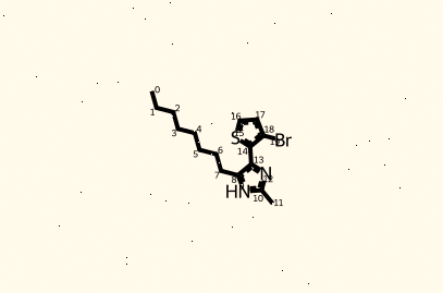 CCCCCCCCc1[nH]c(C)nc1-c1sccc1Br